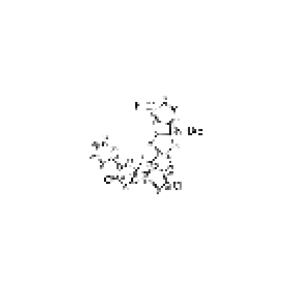 CC(=O)NC1(c2cccc(C(F)(F)F)c2)CCN(CCC2(c3ccc(Cl)c(Cl)c3)CN(c3ccccc3)C(=O)CO2)CC1